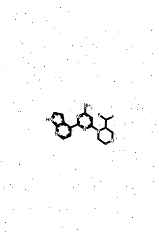 Nc1cc(N2CCOCC2C(F)F)nc(-c2ccnc3[nH]ccc23)n1